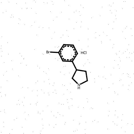 Brc1cccc(C2CCNC2)c1.Cl